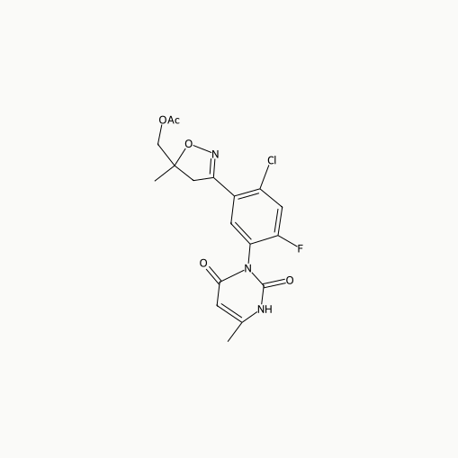 CC(=O)OCC1(C)CC(c2cc(-n3c(=O)cc(C)[nH]c3=O)c(F)cc2Cl)=NO1